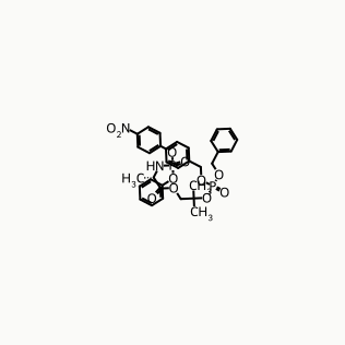 C[C@H](NP(=O)(Oc1ccccc1)Oc1ccc([N+](=O)[O-])cc1)C(=O)OCC(C)(C)OP(=O)(OCc1ccccc1)OCc1ccccc1